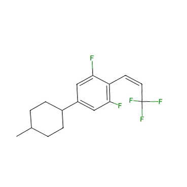 CC1CCC(c2cc(F)c(/C=C\C(F)(F)F)c(F)c2)CC1